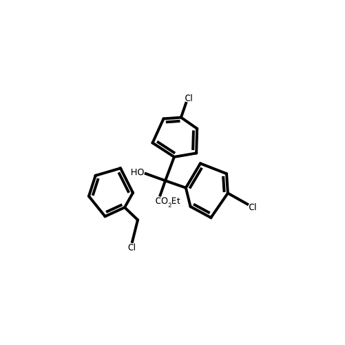 CCOC(=O)C(O)(c1ccc(Cl)cc1)c1ccc(Cl)cc1.ClCc1ccccc1